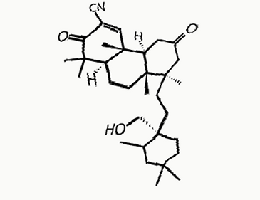 CC1CC(C)(C)CC[C@]1(CO)CC[C@]1(C)CC(=O)C[C@@H]2[C@@]3(C)C=C(C#N)C(=O)C(C)(C)[C@@H]3CC[C@]21C